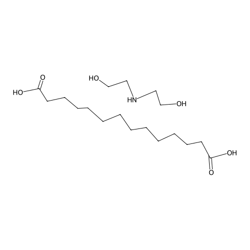 O=C(O)CCCCCCCCCCCCC(=O)O.OCCNCCO